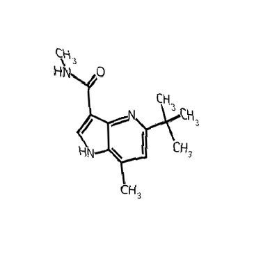 CNC(=O)c1c[nH]c2c(C)cc(C(C)(C)C)nc12